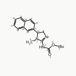 CN1C(NC(=O)OC(C)(C)C)=NCC1c1ccc2ccccc2c1